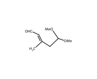 COC(CC(C)=CC=O)OC